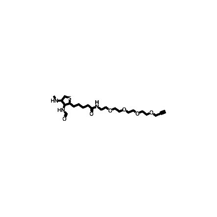 C#CCOCCOCCOCCOCCNC(=O)CCCCC1SCC(NC)C1NC=O